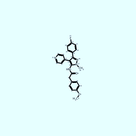 COc1ccc(CC(=O)Nc2c(-c3ccncc3)c(-c3ccc(F)cc3)nn2C)cc1